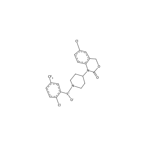 O=C1OCc2cc(Cl)ccc2N1C1CCN([S+]([O-])c2cc(C(F)(F)F)ccc2Cl)CC1